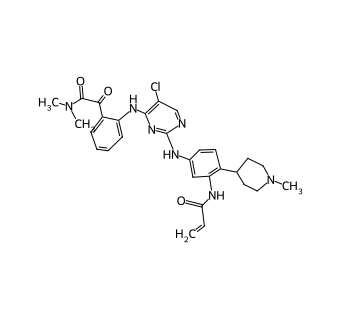 C=CC(=O)Nc1cc(Nc2ncc(Cl)c(Nc3ccccc3C(=O)C(=O)N(C)C)n2)ccc1C1CCN(C)CC1